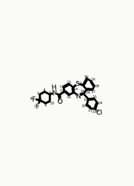 O=C(NC1CCC(F)(F)CC1)c1ccc2c(c1)N=C(c1ccc(Cl)cc1)c1ccccc1S2